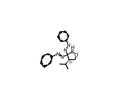 CC(C)[C@@H]1COBC1(N=Nc1ccccc1)N=Nc1ccccc1